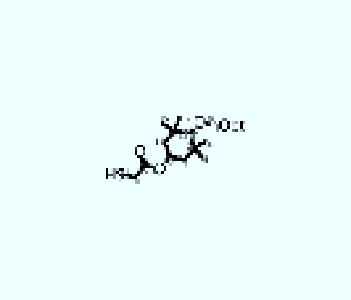 CCCCCCCCON1C(C)(C)CC(OC(=O)CS)CC1(C)C